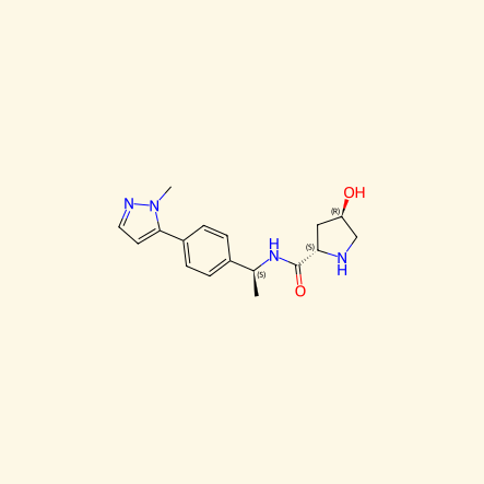 C[C@H](NC(=O)[C@@H]1C[C@@H](O)CN1)c1ccc(-c2ccnn2C)cc1